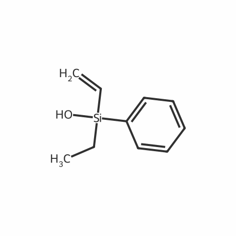 C=C[Si](O)(CC)c1ccccc1